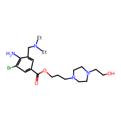 CCN(CC)Cc1cc(C(=O)OCCCN2CCN(CCO)CC2)cc(Br)c1N